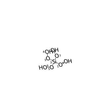 OO[Si](OO)(OO)OO